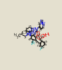 CC(C)CN(c1cc(F)c(-c2cc(F)ccc2C(=O)O)cc1NC(=O)Nc1ccnnc1)C1CCCCC1